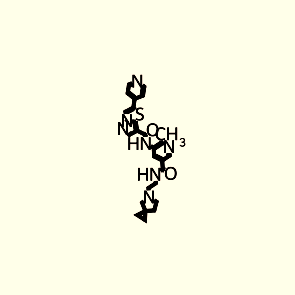 Cc1ncc(C(=O)NCCN2CCC3(CC3)C2)cc1NC(=O)c1cnn2cc(-c3ccncc3)sc12